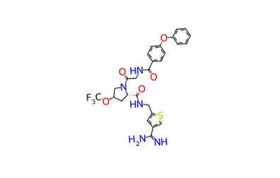 N=C(N)c1csc(CNC(=O)[C@@H]2C[C@@H](OC(F)(F)F)CN2C(=O)CNC(=O)c2ccc(Oc3ccccc3)cc2)c1